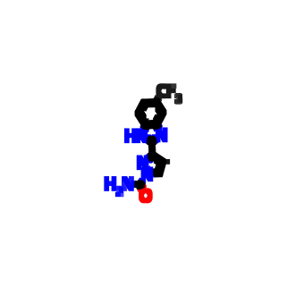 NC(=O)n1c[c]c(-c2nc3cc(C(F)(F)F)ccc3[nH]2)n1